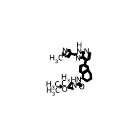 Cn1cc(-c2nc3c(-c4ccc5c(c4)CCC[C@@H]5NC(=O)N4CC(OC(C)(C)C)C4)ccnc3[nH]2)cn1